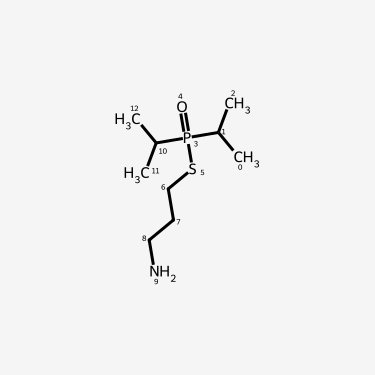 CC(C)P(=O)(SCCCN)C(C)C